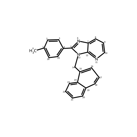 Cc1ccc(-c2nc3cccnc3n2Cc2cccc3ccccc23)cc1